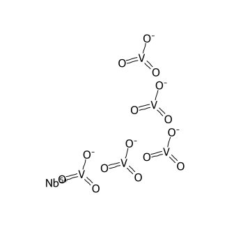 [Nb+5].[O]=[V](=[O])[O-].[O]=[V](=[O])[O-].[O]=[V](=[O])[O-].[O]=[V](=[O])[O-].[O]=[V](=[O])[O-]